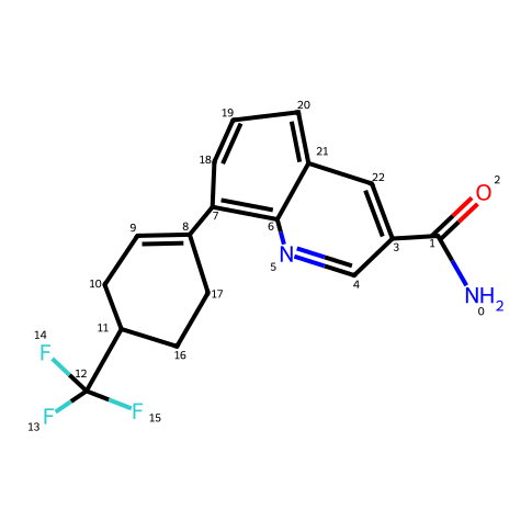 NC(=O)c1cnc2c(C3=CCC(C(F)(F)F)CC3)cccc2c1